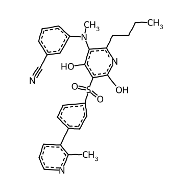 CCCCc1nc(O)c(S(=O)(=O)c2ccc(-c3cccnc3C)cc2)c(O)c1N(C)c1cccc(C#N)c1